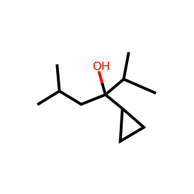 CC(C)CC(O)(C(C)C)C1CC1